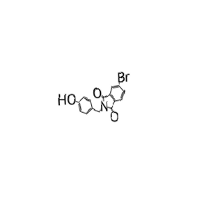 O=C1c2ccc(Br)cc2C(=O)N1Cc1ccc(O)cc1